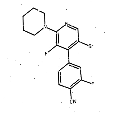 N#Cc1ccc(-c2c(Br)cnc(N3CCCCC3)c2F)cc1F